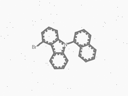 Brc1cccc2c1c1ccccc1n2-c1cccc2ccccc12